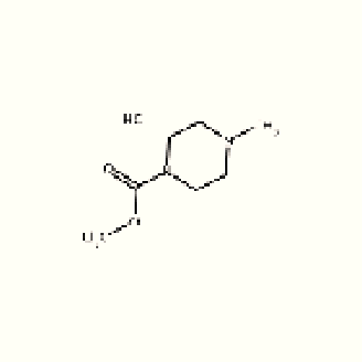 CN1CCN(C(=O)OC(Cl)(Cl)Cl)CC1.Cl